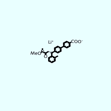 CON(C)C(=O)C[C@H](c1ccc(-c2ccc(C(=O)[O-])cc2)cc1)c1ccccc1C.[Li+]